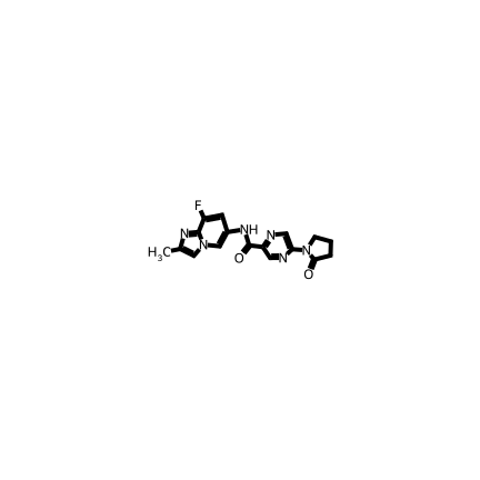 Cc1cn2cc(NC(=O)c3cnc(N4CCCC4=O)cn3)cc(F)c2n1